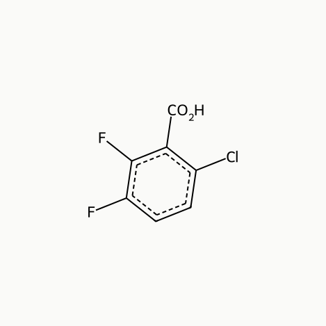 O=C(O)c1c(Cl)ccc(F)c1F